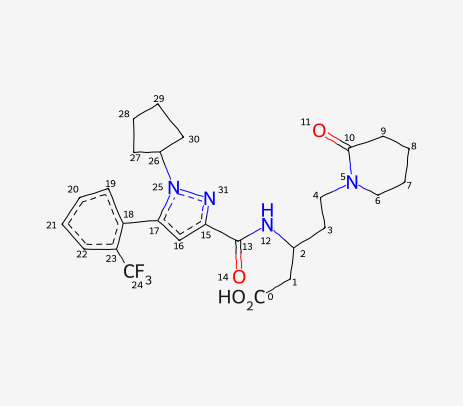 O=C(O)CC(CCN1CCCCC1=O)NC(=O)c1cc(-c2ccccc2C(F)(F)F)n(C2CCCC2)n1